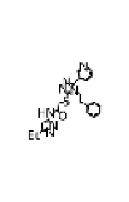 CCC1=NN=C(NC(=O)CSc2nnc(-c3cccnc3)n2CCc2ccccc2)C1